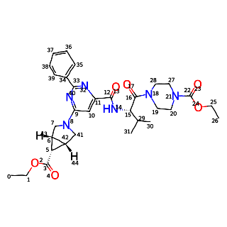 CCOC(=O)[C@@H]1[C@@H]2CN(c3cc(C(=O)N[C@H](C(=O)N4CCN(C(=O)OCC)CC4)C(C)C)nc(-c4ccccc4)n3)C[C@@H]21